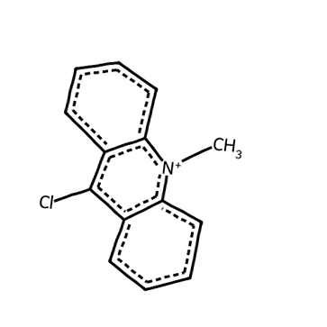 C[n+]1c2ccccc2c(Cl)c2ccccc21